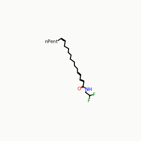 CCCCC/C=C\CCCCCCCC/C=C/C=C/C(=O)NCC(F)F